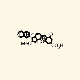 CO[C@@H]1C[C@H]2[C@@H]3OC4=C(C=C3C=C[C@]2(C)[C@H]1c1ccc2ccncc2c1)C(=O)CC(C(=O)O)C4